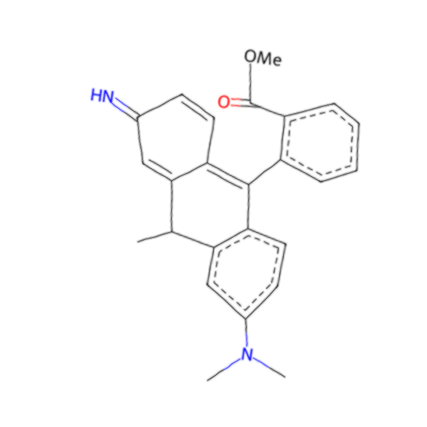 COC(=O)c1ccccc1C1=C2C=CC(=N)C=C2C(C)c2cc(N(C)C)ccc21